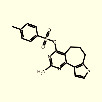 Cc1ccc(S(=O)(=O)Oc2nc(N)nc3c2CCCc2sccc2-3)cc1